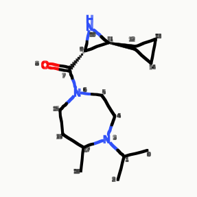 CC(C)N1CCN(C(=O)[C@@H]2N[C@H]2C2CC2)CCC1C